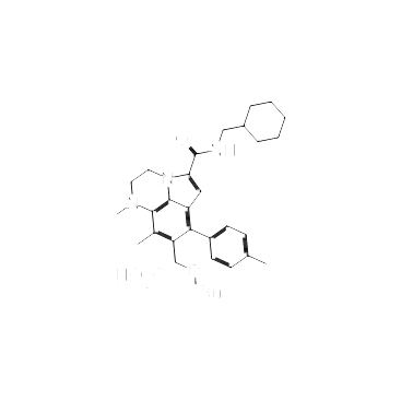 Cc1ccc(-c2c([C@H](OC(C)(C)C)C(=O)O)c(C)c3c4c2cc(C(=O)NCC2CCCCC2)n4CCN3C)cc1